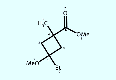 CCC1(OC)CC(C)(C(=O)OC)C1